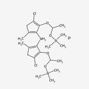 CC1=C([SiH2]C2=C(C)CC(Cl)=C2OC(C)O[Si](C)(C)C)C(OC(C)O[Si](C)(C)C)=C(Cl)C1.[Zr]